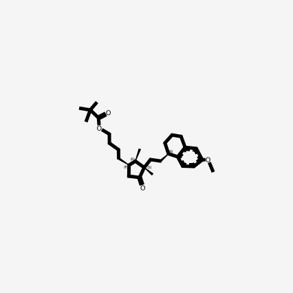 COc1ccc2c(c1)CCC[C@@H]2CC[C@]1(C)C(=O)C[C@@H](CCCCOC(=O)C(C)(C)C)[C@H]1C